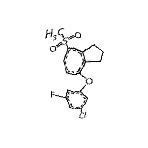 CS(=O)(=O)c1ccc(Oc2cc(F)cc(Cl)c2)c2c1CCC2